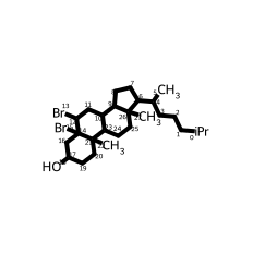 CC(C)CCCC(C)C1CCC2C3CC(Br)C4(Br)CC(O)CCC4(C)C3CCC12C